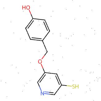 Oc1ccc(COc2cncc(S)c2)cc1